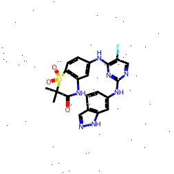 CC1(C)C(=O)Nc2cc(Nc3nc(Nc4ccc5cn[nH]c5c4)ncc3F)ccc2S1(=O)=O